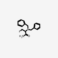 NC(=O)C(CF)N(Cc1ccccc1)Cc1ccccc1